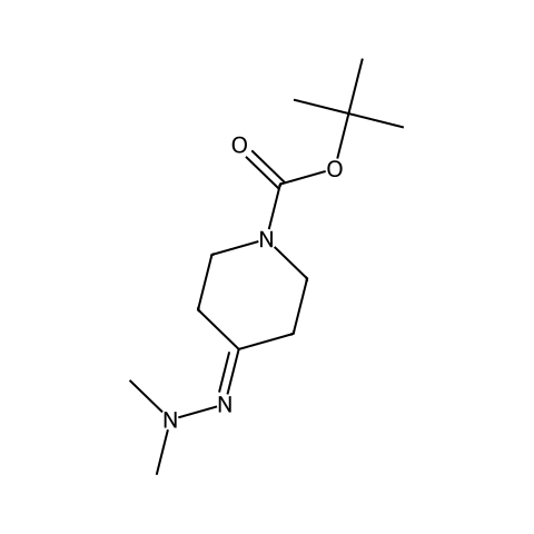 CN(C)N=C1CCN(C(=O)OC(C)(C)C)CC1